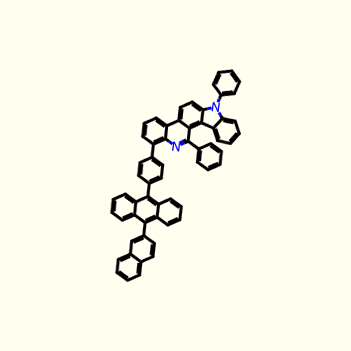 c1ccc(-c2nc3c(-c4ccc(-c5c6ccccc6c(-c6ccc7ccccc7c6)c6ccccc56)cc4)cccc3c3ccc4c(c5ccccc5n4-c4ccccc4)c23)cc1